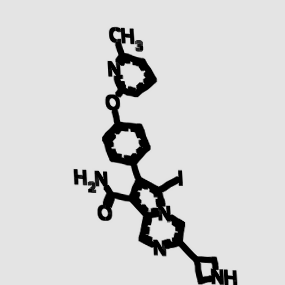 Cc1cccc(Oc2ccc(-c3c(C(N)=O)c4cnc(C5CNC5)cn4c3I)cc2)n1